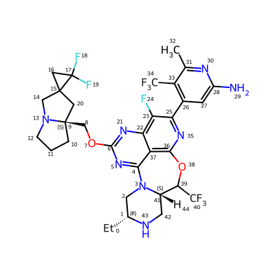 CC[C@@H]1CN2c3nc(OC[C@@]45CCCN4CC4(CC4(F)F)C5)nc4c(F)c(-c5cc(N)nc(C)c5C(F)(F)F)nc(c34)OC(C(F)(F)F)[C@@H]2CN1